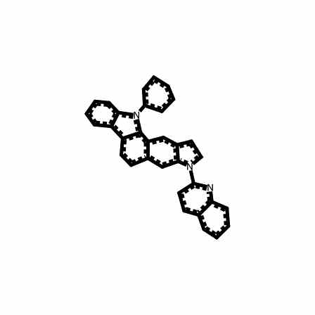 c1ccc(-n2c3ccccc3c3ccc4cc5c(ccn5-c5ccc6ccccc6n5)cc4c32)cc1